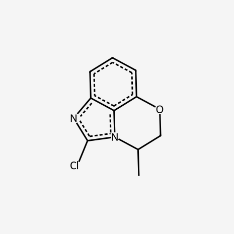 CC1COc2cccc3nc(Cl)n1c23